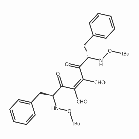 CC(C)(C)ON[C@@H](Cc1ccccc1)C(=O)/C([C]=O)=C(/[C]=O)C(=O)[C@H](Cc1ccccc1)NOC(C)(C)C